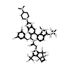 CN(C)C1CCN(c2nc3nc([C@H](Cc4cc(F)cc(F)c4)NC(=O)Cn4nc(C(F)(F)F)c5c4C(F)(F)[C@@H]4C=C[C@H]54)c(-c4cccc5c(NS(C)(=O)=O)nn(C)c45)cc3s2)CC1